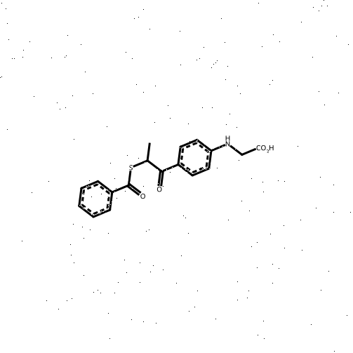 CC(SC(=O)c1ccccc1)C(=O)c1ccc(NCC(=O)O)cc1